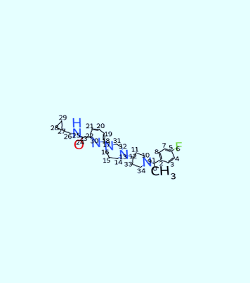 CC(c1ccc(F)cc1)N1CCC(N2CCCN(c3cccc(C(=O)NCC4CC4)n3)CC2)CC1